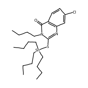 CCCCn1c([S][Sn]([CH2]CCC)([CH2]CCC)[CH2]CCC)nc2cc(Cl)ccc2c1=O